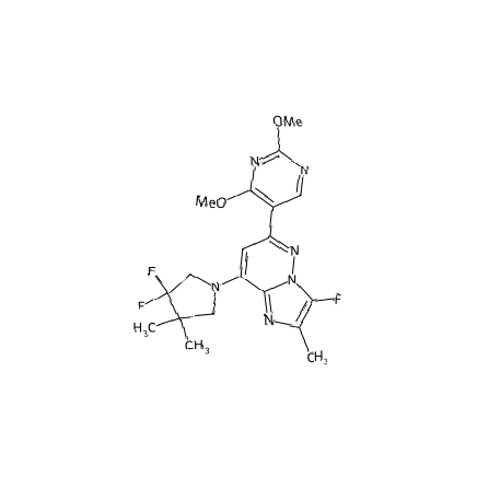 COc1ncc(-c2cc(N3CC(C)(C)C(F)(F)C3)c3nc(C)c(F)n3n2)c(OC)n1